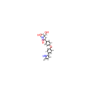 CNC(CO)(CO)CC(O)c1ccc(Oc2ccc(-c3ccc(C)[nH]3)cc2)cc1